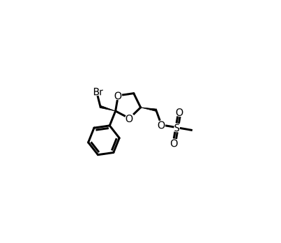 CS(=O)(=O)OC[C@@H]1CO[C@@](CBr)(c2ccccc2)O1